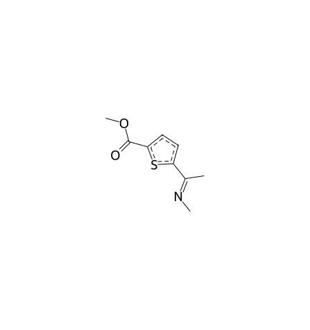 C/N=C(\C)c1ccc(C(=O)OC)s1